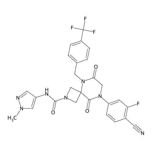 Cn1cc(NC(=O)N2CC3(C2)C(=O)N(c2ccc(C#N)c(F)c2)CC(=O)N3Cc2ccc(C(F)(F)F)cc2)cn1